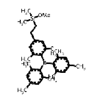 CO[Si](C)(C)CCc1cc(C)c(B(c2c(C)cc(C)cc2C)c2c(C)cc(C)cc2C)c(C)c1